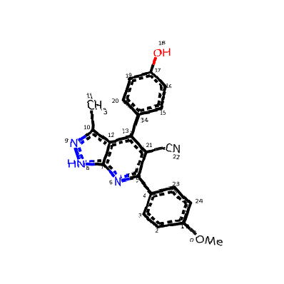 COc1ccc(-c2nc3[nH]nc(C)c3c(-c3ccc(O)cc3)c2C#N)cc1